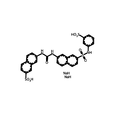 O=C(Nc1ccc2ccc(S(=O)(=O)O)cc2c1)Nc1ccc2ccc(S(=O)(=O)Nc3cccc(S(=O)(=O)O)c3)cc2c1.[NaH].[NaH]